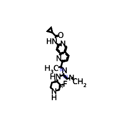 C=N/C=C(\N=C(/C)c1ccc2cnc(NC(=O)C3CC3)cc2n1)N[C@H]1CCNC[C@@H]1F